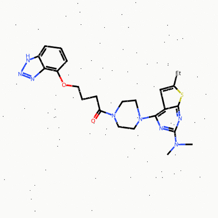 CCc1cc2c(N3CCN(C(=O)CCCOc4cccc5[nH]nnc45)CC3)nc(N(C)C)nc2s1